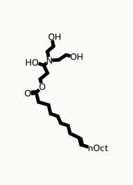 CCCCCCCCC=CCCCCCCCC(=O)OCCC(O)N(CCO)CCO